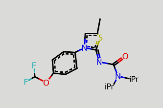 Cc1cn(-c2ccc(OC(F)F)cc2)c(=NC(=O)N(C(C)C)C(C)C)s1